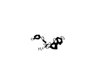 CC(Oc1ccc2c(c1)oc1cc(Cl)ccc12)C(=O)OCCOc1cccc(Cl)c1